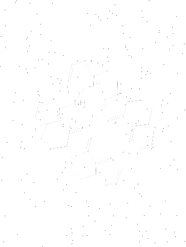 c1ccc2c(c1)ccc1c2ccc2c1ccc1cccc(Nc3cccc4ccc5c6ccc7ccccc7c6ccc5c34)c12